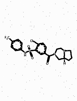 O=C(c1ccc(Cl)c(S(=O)(=O)Nc2ccc(C(F)(F)F)cc2)c1)N1CCN2CCC[C@@H]2C1